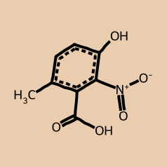 Cc1ccc(O)c([N+](=O)[O-])c1C(=O)O